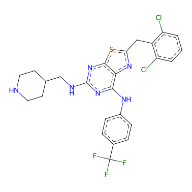 FC(F)(F)c1ccc(Nc2nc(NCC3CCNCC3)nc3sc(Cc4c(Cl)cccc4Cl)nc23)cc1